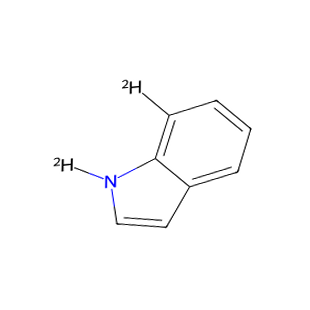 [2H]c1cccc2ccn([2H])c12